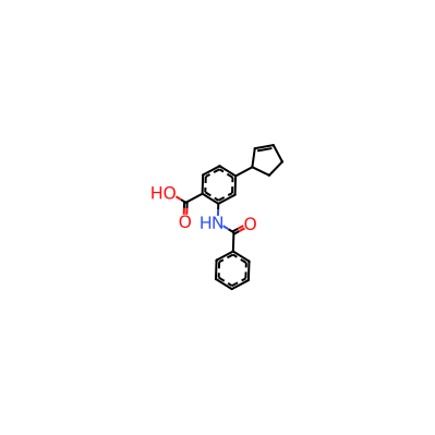 O=C(Nc1cc(C2C=CCC2)ccc1C(=O)O)c1ccccc1